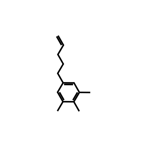 C=CCCCc1cc(C)c(C)c(C)c1